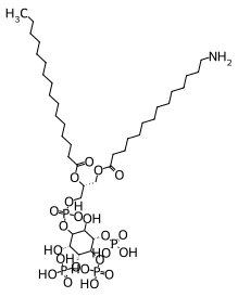 CCCCCCCCCCCCCCCC(=O)O[C@H](COC(=O)CCCCCCCCCCCCCN)COP(=O)(O)OC1C(O)[C@H](OP(=O)(O)O)C(OP(=O)(O)O)[C@H](OP(=O)(O)O)[C@@H]1O